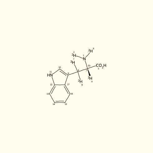 [2H]N([2H])[C@]([2H])(C(=O)O)C([2H])([2H])c1c[nH]c2ccccc12